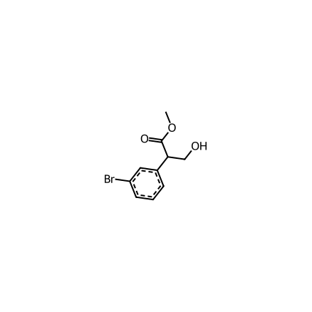 COC(=O)C(CO)c1cccc(Br)c1